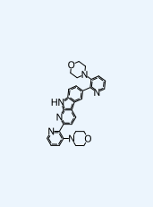 c1cnc(-c2ccc3[nH]c4nc(-c5ncccc5N5CCOCC5)ccc4c3c2)c(N2CCOCC2)c1